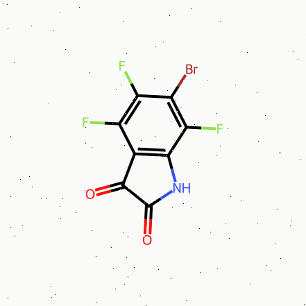 O=C1Nc2c(F)c(Br)c(F)c(F)c2C1=O